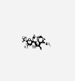 N#C[C@@]1(c2cc(I)c3c(N)ncnn23)O[C@H](CO)[C@@H](O)[C@H]1O